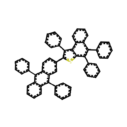 c1ccc(-c2c3ccccc3c(-c3ccccc3)c3cc(-c4sc5c(-c6ccccc6)c(-c6ccccc6)c6ccccc6c5c4-c4ccccc4)ccc23)cc1